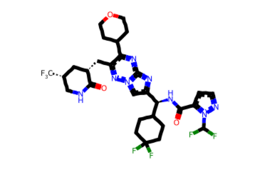 O=C(N[C@H](c1cn2nc(C[C@H]3C[C@@H](C(F)(F)F)CNC3=O)c(C3CCOCC3)nc2n1)C1CCC(F)(F)CC1)c1ccnn1C(F)F